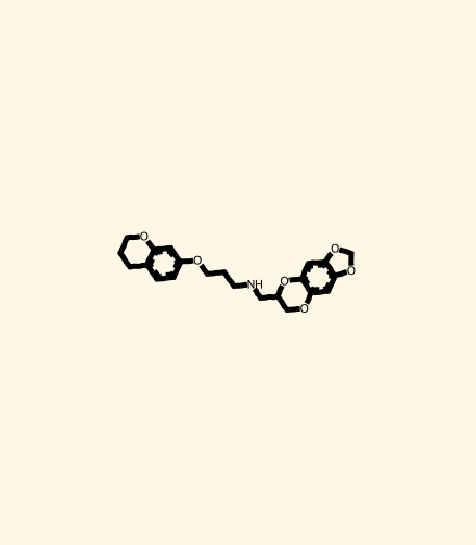 c1cc2c(cc1OCCCNCC1COc3cc4c(cc3O1)OCO4)OCCC2